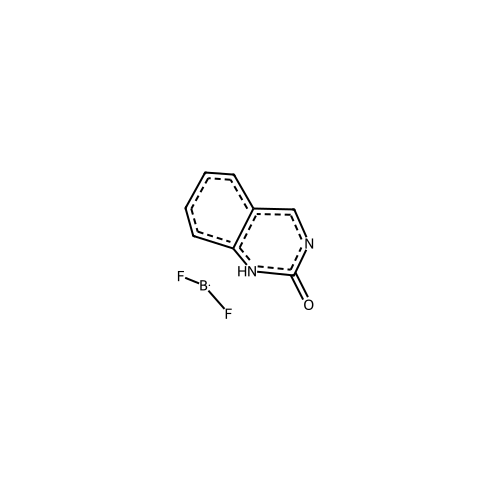 F[B]F.O=c1ncc2ccccc2[nH]1